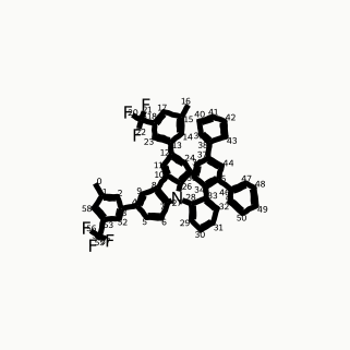 Cc1cc(-c2ccc3c(c2)c2cc(-c4cc(C)cc(C(F)(F)F)c4)ccc2n3-c2ccccc2-c2ccc(-c3ccccc3)cc2-c2ccccc2)cc(C(F)(F)F)c1